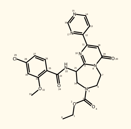 CCOC(=O)N1CCn2c(nc(-c3ccncn3)cc2=O)C(NC(=O)c2ccc(Cl)cc2OC)C1